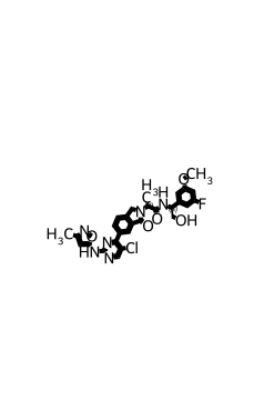 COc1cc(F)cc([C@@H](CO)NC(=O)[C@@H](C)N2Cc3ccc(-c4nc(Nc5cc(C)no5)ncc4Cl)cc3C2=O)c1